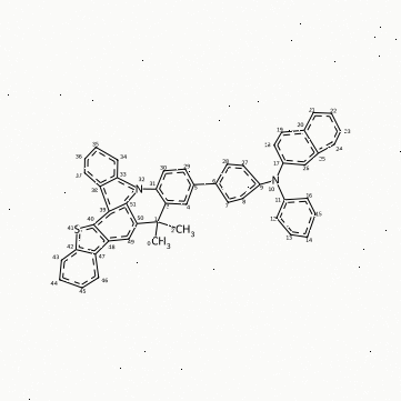 CC1(C)c2cc(-c3ccc(N(c4ccccc4)c4ccc5ccccc5c4)cc3)ccc2-n2c3ccccc3c3c4sc5ccccc5c4cc1c32